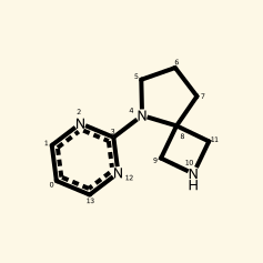 c1cnc(N2CCCC23CNC3)nc1